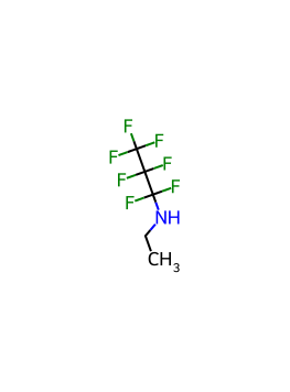 CCNC(F)(F)C(F)(F)C(F)(F)F